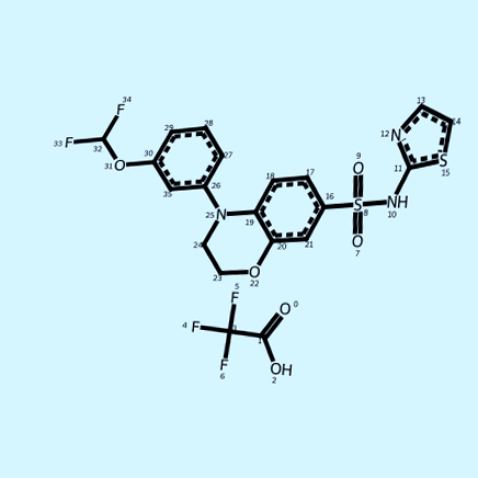 O=C(O)C(F)(F)F.O=S(=O)(Nc1nccs1)c1ccc2c(c1)OCCN2c1cccc(OC(F)F)c1